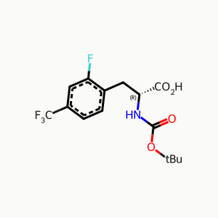 CC(C)(C)OC(=O)N[C@H](Cc1ccc(C(F)(F)F)cc1F)C(=O)O